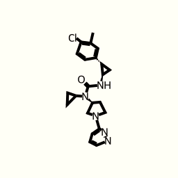 Cc1cc([C@@H]2C[C@H]2NC(=O)N(C2CC2)[C@H]2CCN(c3cccnn3)C2)ccc1Cl